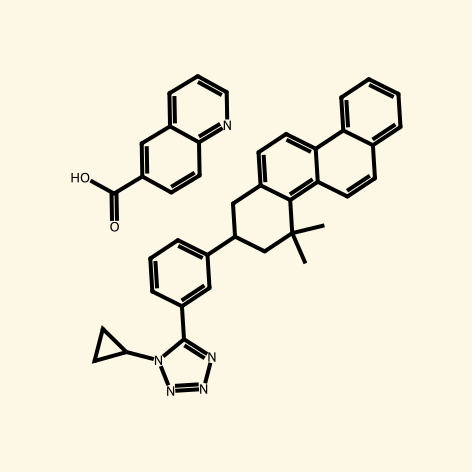 CC1(C)CC(c2cccc(-c3nnnn3C3CC3)c2)Cc2ccc3c(ccc4ccccc43)c21.O=C(O)c1ccc2ncccc2c1